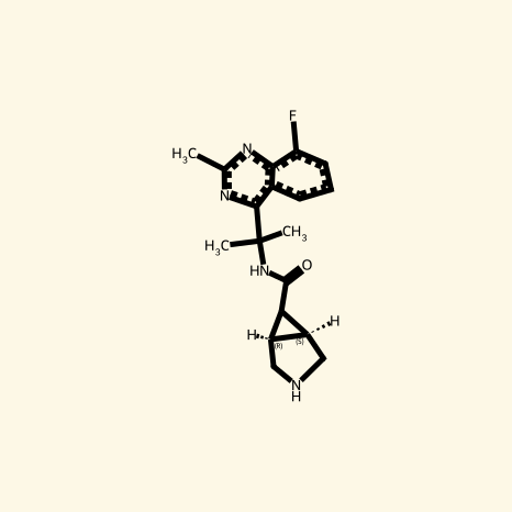 Cc1nc(C(C)(C)NC(=O)C2[C@H]3CNC[C@@H]23)c2cccc(F)c2n1